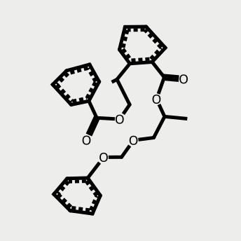 CC(COCOc1ccccc1)OC(=O)c1ccccc1C(C)COC(=O)c1ccccc1